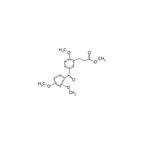 COC(=O)CCc1cc(C(=O)c2ccc(OC)cc2OC)ccc1OC